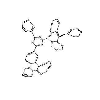 c1ccc(-c2nc(-c3ccc4c5ccccc5c5ccccc5c4c3)nc(-c3c4ccccc4c(-c4ccncc4)c4ccccc34)n2)cc1